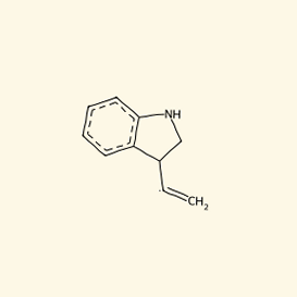 C=[C]C1CNc2ccccc21